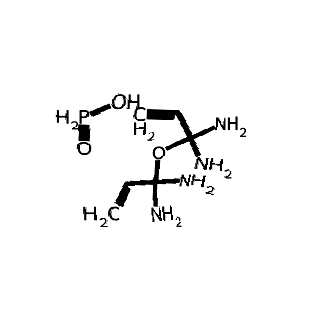 C=CC(N)(N)OC(N)(N)C=C.O=[PH2]O